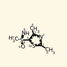 Cc1nc(C)c([S@](C)(=N)=O)s1